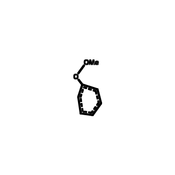 [CH2]OOc1ccccc1